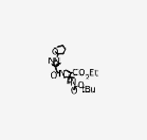 CCOC(=O)C1CN(C(=O)c2cnn(C3CCCCO3)c2)CC12CN(C(=O)OC(C)(C)C)C2